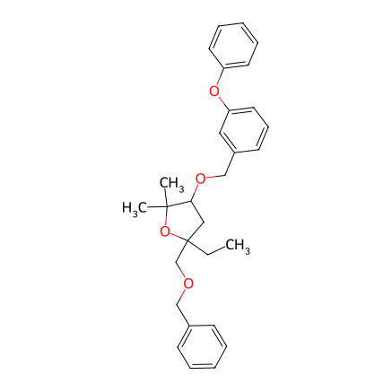 CCC1(COCc2ccccc2)CC(OCc2cccc(Oc3ccccc3)c2)C(C)(C)O1